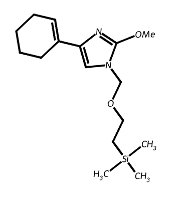 COc1nc(C2=CCCCC2)cn1COCC[Si](C)(C)C